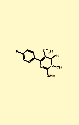 CSC1=NC(c2ccc(F)cc2)=C(C(=O)O)C(C(C)C)N1C